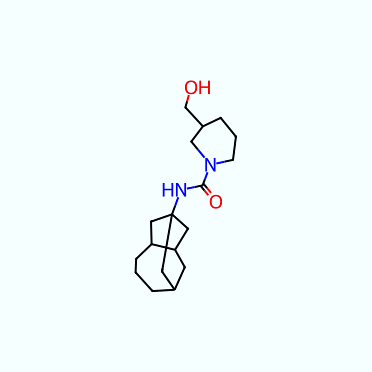 O=C(NC12CC3CCCC(C1)C(C3)C2)N1CCCC(CO)C1